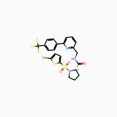 O=C(NCc1cccc(-c2ccc(C(F)(F)F)cc2)n1)[C@@H]1CCCN1S(=O)(=O)c1ccc(Cl)s1